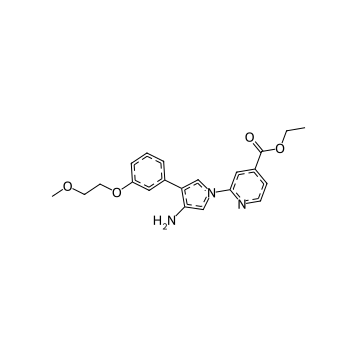 CCOC(=O)c1ccnc(-n2cc(N)c(-c3cccc(OCCOC)c3)c2)c1